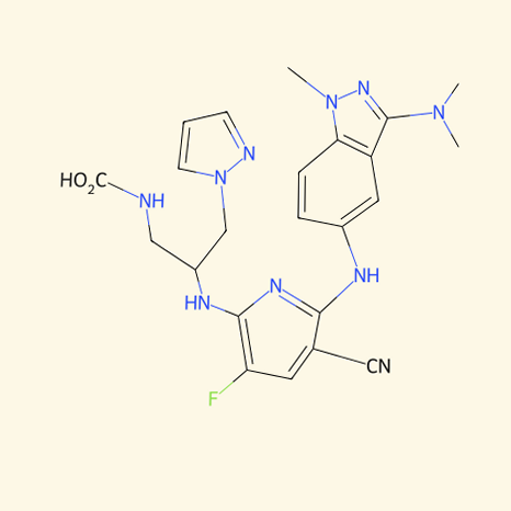 CN(C)c1nn(C)c2ccc(Nc3nc(NC(CNC(=O)O)Cn4cccn4)c(F)cc3C#N)cc12